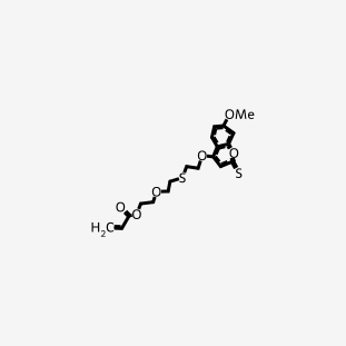 C=CC(=O)OCCOCCSCCOc1cc(=S)oc2cc(OC)ccc12